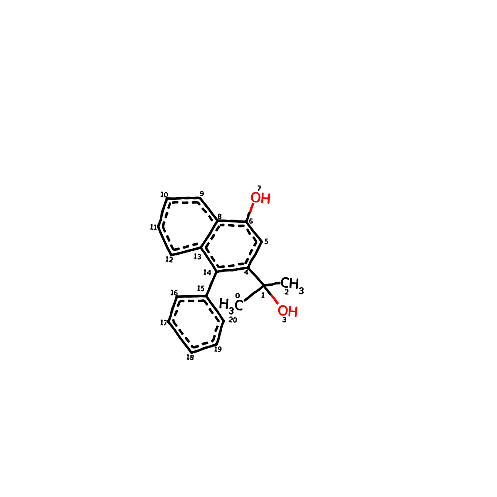 CC(C)(O)c1cc(O)c2ccccc2c1-c1ccccc1